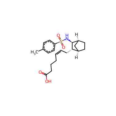 Cc1ccc(S(=O)(=O)N[C@H]2[C@H]3CC[C@H](C3)[C@@H]2C/C=C\CCCC(=O)O)cc1